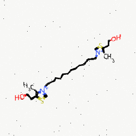 Cc1c(CCO)sc[n+]1CCCCCCCCCCCC[n+]1csc(CCO)c1C